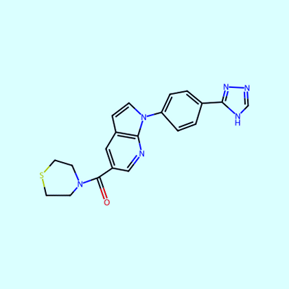 O=C(c1cnc2c(ccn2-c2ccc(-c3nnc[nH]3)cc2)c1)N1CCSCC1